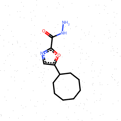 NNC(=O)c1ncc(C2CCCCCCC2)o1